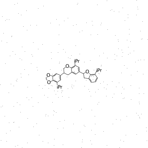 CC(C)c1cc(C2Cc3cccc(C(C)C)c3O2)cc2c1OCC(c1cc3c(c(C(C)C)c1)OCO3)C2